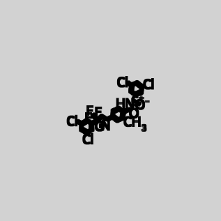 Cc1cc(C2=NOC(c3cc(Cl)cc(Cl)c3)(C(F)(F)F)C2)ccc1C(=O)N[S+]([O-])c1cc(Cl)cc(Cl)c1